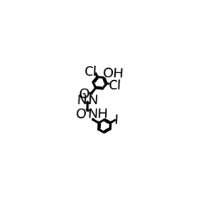 O=C(NCc1cccc(I)c1)c1noc(-c2cc(Cl)c(O)c(Cl)c2)n1